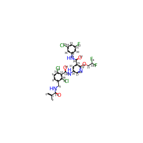 C=C(C)C(=O)NCc1ccc(Cl)c(C(=O)Nc2cnc(OCC(F)F)c(C(=O)Nc3cc(F)cc(Cl)c3)c2)c1Cl